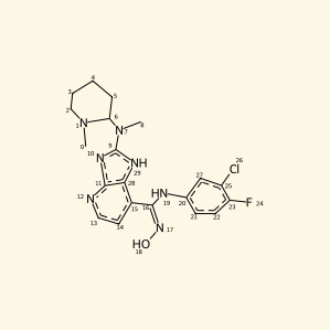 CN1CCCCC1N(C)c1nc2nccc(/C(=N\O)Nc3ccc(F)c(Cl)c3)c2[nH]1